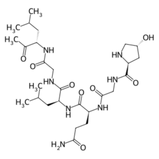 CC(=O)[C@H](CC(C)C)NC(=O)CNC(=O)[C@H](CC(C)C)NC(=O)[C@H](CCC(N)=O)NC(=O)CNC(=O)[C@@H]1C[C@@H](O)CN1